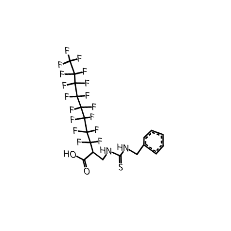 O=C(O)C(CNC(=S)NCc1ccccc1)C(F)(F)C(F)(F)C(F)(F)C(F)(F)C(F)(F)C(F)(F)C(F)(F)C(F)(F)F